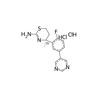 C[C@@]1(c2cc(-c3cncnc3)ccc2F)CCSC(N)=N1.Cl.Cl